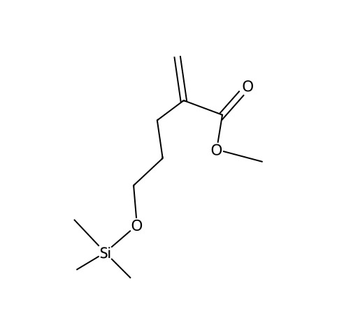 C=C(CCCO[Si](C)(C)C)C(=O)OC